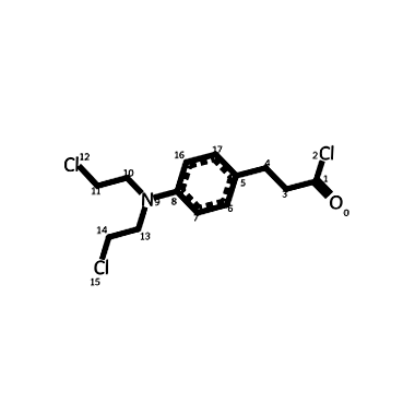 O=C(Cl)CCc1ccc(N(CCCl)CCCl)cc1